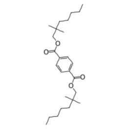 CCCCCC(C)(C)COC(=O)c1ccc(C(=O)OCC(C)(C)CCCCC)cc1